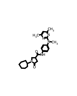 Cc1cc(C)nc(N(C)c2ccc(NC(=O)C3CC(=O)N(C4CCCCCC4)C3)cc2)n1